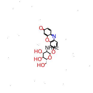 CC(=O)N[C@H]1[C@H](Oc2ccc3nc4ccc(=O)cc-4oc3c2)O[C@H](CO)[C@@H](O)[C@@H]1O